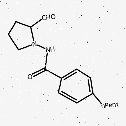 CCCCCc1ccc(C(=O)NN2CCCC2C=O)cc1